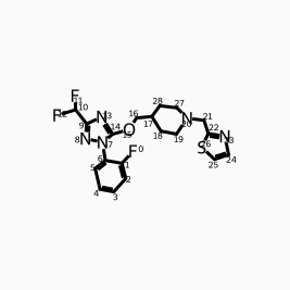 Fc1ccccc1-n1nc(C(F)F)nc1OCC1CCN(Cc2nccs2)CC1